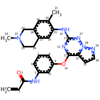 C=CC(=O)Nc1cccc(Oc2nc(Nc3cc4c(cc3C)CN(C)CC4)nn3nccc23)c1